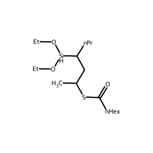 CCCCCCC(=O)SC(C)CC(CCC)[SiH](OCC)OCC